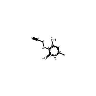 C#CCSc1c(O)cc(C)oc1=O